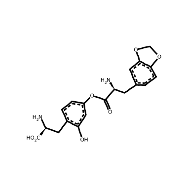 N[C@@H](Cc1ccc(OC(=O)[C@@H](N)Cc2ccc3c(c2)OCO3)cc1O)C(=O)O